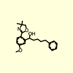 COc1ccc(C2=NC(C)(C)CO2)c(C(O)CCCCc2ccccc2)c1